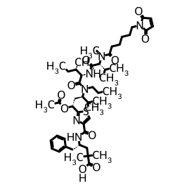 CCCN(C(=O)[C@@H](NC(=O)[C@@H](C(C)C)N(C)C(=O)CCCCCN1C(=O)C=CC1=O)[C@@H](C)CC)[C@H](C[C@@H](OC(C)=O)c1nc(C(=O)N[C@@H](Cc2ccccc2)CC(C)(C)C(=O)O)cs1)C(C)C